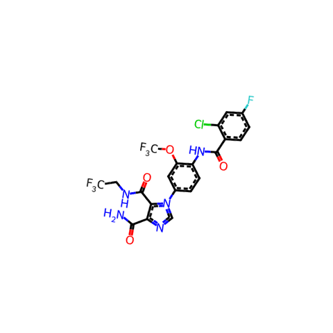 NC(=O)c1ncn(-c2ccc(NC(=O)c3ccc(F)cc3Cl)c(OC(F)(F)F)c2)c1C(=O)NCC(F)(F)F